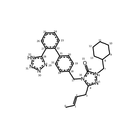 CC=CCc1nn(CC2CCCCC2)c(=O)n1Cc1ccc(-c2ccccc2-c2nnn[nH]2)cc1